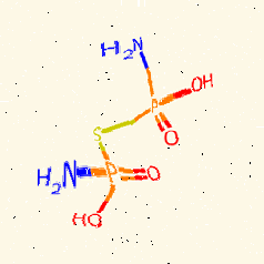 NP(=O)(O)SP(N)(=O)O